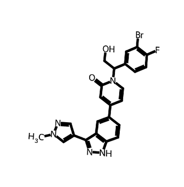 Cn1cc(-c2n[nH]c3ccc(-c4ccn(C(CO)c5ccc(F)c(Br)c5)c(=O)c4)cc23)cn1